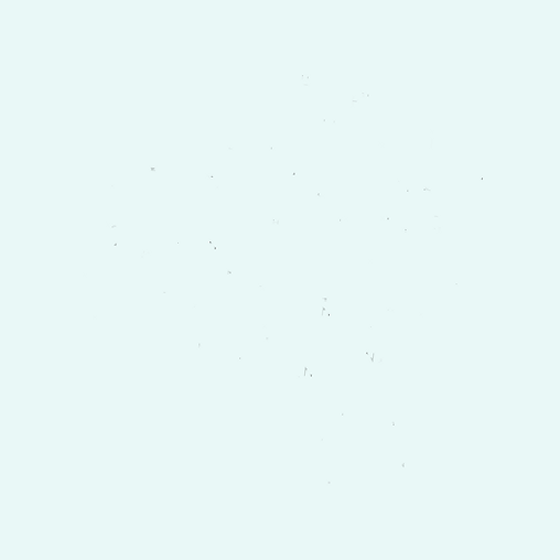 Fc1ccccc1-c1ccc(-c2nc(-c3ccccc3)nc(-c3ccccc3)n2)cc1-n1c2ccccc2c2ccc(-c3ccc(C(F)(F)F)cc3C(F)(F)F)cc21